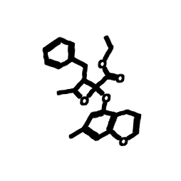 CCOC(=O)C1(Oc2cc(C)cc3c2CC=CO3)OC(C)C1Cc1ccccc1